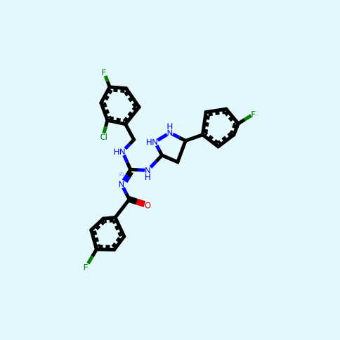 O=C(/N=C(/NCc1ccc(F)cc1Cl)NC1CC(c2ccc(F)cc2)NN1)c1ccc(F)cc1